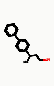 CCCCC([CH]CO)c1ccc(-c2ccccc2)cc1